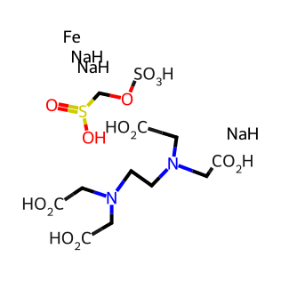 O=C(O)CN(CCN(CC(=O)O)CC(=O)O)CC(=O)O.O=S(O)COS(=O)(=O)O.[Fe].[NaH].[NaH].[NaH]